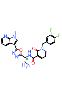 NC[C@@H](NC(=O)c1cccn(Cc2ccc(F)c(F)c2)c1=O)c1nnc(-c2c[nH]c3ncccc23)o1